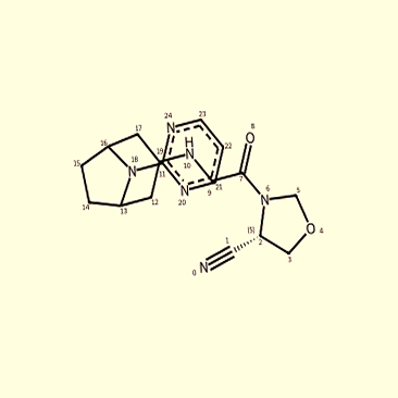 N#C[C@H]1COCN1C(=O)CNC1CC2CCC(C1)N2c1ncccn1